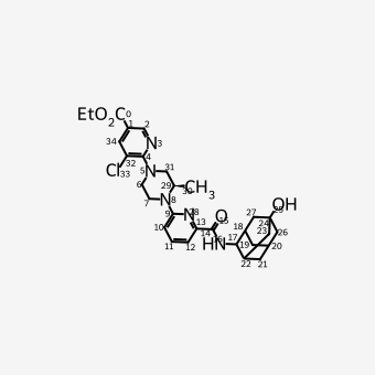 CCOC(=O)c1cnc(N2CCN(c3cccc(C(=O)NC4C5CC6CC4CC(O)(C6)C5)n3)[C@H](C)C2)c(Cl)c1